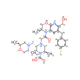 C[C@@H]1CO[C@@H](C)CN1C[C@H]1CN(C(=O)O)[C@H](C)CN1CC(=O)N1c2cc(Cc3ccc(F)cc3)c(CO)nc2OC[C@@H]1C